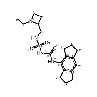 CCN1CCC1CNS(=O)(=O)NC(=O)Nc1c2c(cc3c1CCC3)CCC2